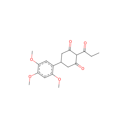 CCC(=O)C1C(=O)CC(c2cc(OC)c(OC)cc2OC)CC1=O